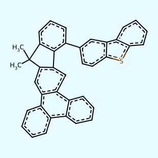 CC1(C)c2cc3c4ccccc4c4ccccc4c3cc2-c2c(-c3ccc4sc5ccccc5c4c3)cccc21